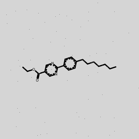 CCCCCCCc1ccc(-c2ncc(C(=O)OCC)cn2)cc1